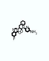 Nc1ccc(NC(=O)C(CC2CCCCC2)n2cnc3ccc(F)cc3c2=O)nc1